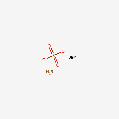 O=S(=O)([O-])[O-].S.[Ba+2]